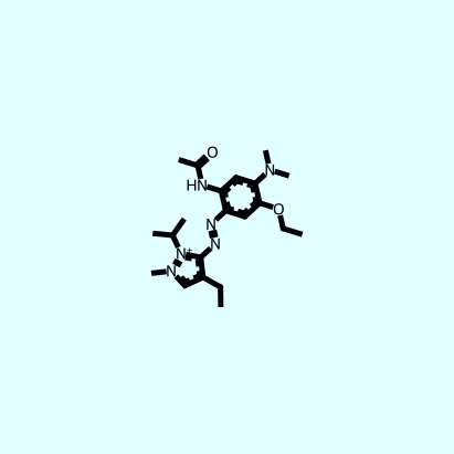 CCOc1cc(N=Nc2c(CC)cn(C)[n+]2C(C)C)c(NC(C)=O)cc1N(C)C